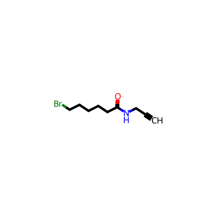 C#CCNC(=O)CCCCCBr